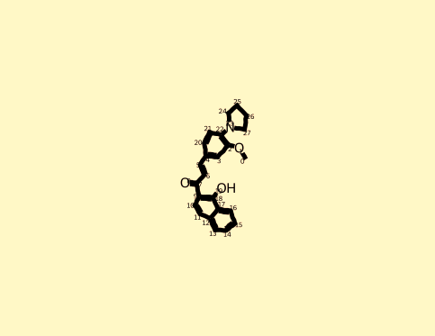 COc1cc(C=CC(=O)c2ccc3ccccc3c2O)ccc1N1CCCC1